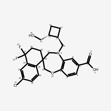 O=C(O)c1ccc2c(c1)N(C[C@@H]1CC[C@H]1CO)CC1(CCC(F)(F)c3cc(Cl)ccc31)CO2